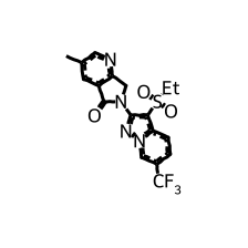 CCS(=O)(=O)c1c(N2Cc3ncc(C)cc3C2=O)nn2cc(C(F)(F)F)ccc12